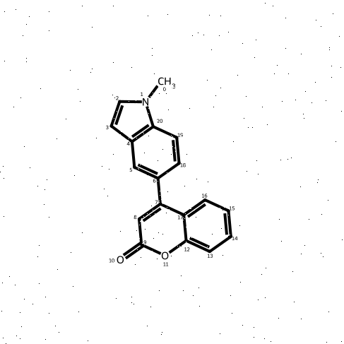 Cn1ccc2cc(-c3cc(=O)oc4ccccc34)ccc21